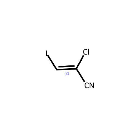 N#C/C(Cl)=C/I